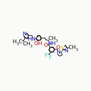 Cc1csc([C@H]2CCCN2C(=O)c2cc(C(=O)N[C@@H](C)CCc3ccc(NCc4cncc(C(C)C)c4)c(O)c3)cc(C(F)F)c2)n1